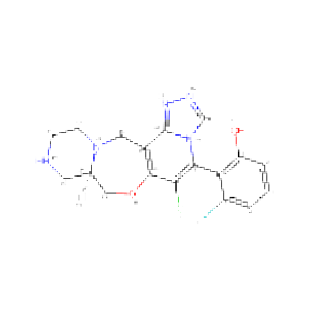 Oc1cccc(F)c1-c1c(Cl)c2c(c3nncn13)CN1CCNC[C@@H]1CO2